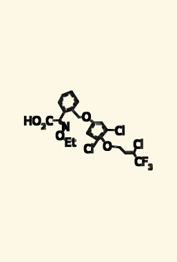 CCON=C(C(=O)O)c1ccccc1COc1cc(Cl)c(OCC=C(Cl)C(F)(F)F)c(Cl)c1